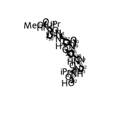 COC(=O)N[C@H](C(=O)N1CCC[C@H]1c1ncc(-c2cc3c4c(c2)Oc2ccc(-c5cnc([C@@H]6CCCN6C(=O)[C@@H](NC(=O)CO)C(C)C)[nH]5)cc2N4CCO3)[nH]1)C(C)C